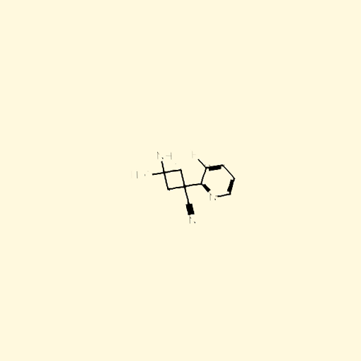 CC1(N)CC(C#N)(c2nc[c]cc2F)C1